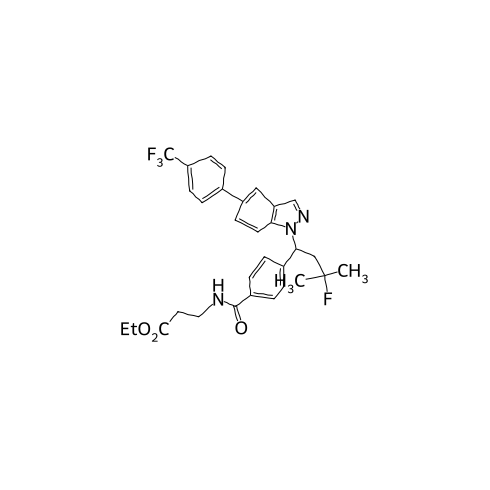 CCOC(=O)CCNC(=O)c1ccc(C(CC(C)(C)F)n2ncc3cc(-c4ccc(C(F)(F)F)cc4)ccc32)cc1